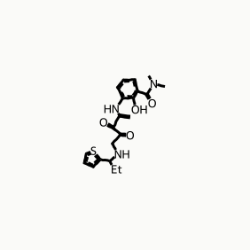 C=C(Nc1cccc(C(=O)N(C)C)c1O)C(=O)C(=O)CNC(CC)c1cccs1